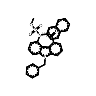 COS(=O)(=O)N(c1ccc2ccccc2c1)c1cccc2c1c1c(C(N)=O)cccc1n2Cc1ccccc1